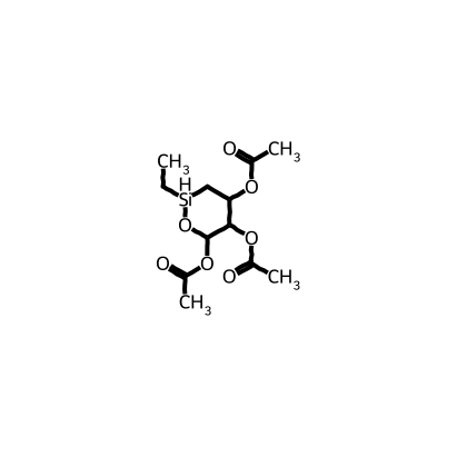 CC[SiH]1CC(OC(C)=O)C(OC(C)=O)C(OC(C)=O)O1